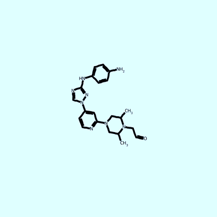 CC1CN(c2cc(-n3cnc(Nc4ccc(N)cc4)n3)ccn2)CC(C)N1CC=O